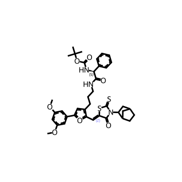 COc1cc(OC)cc(-c2cc(CCCNC(=O)[C@@H](NC(=O)OC(C)(C)C)c3ccccc3)c(/C=C3\SC(=S)N(C4CC5CCC4C5)C3=O)o2)c1